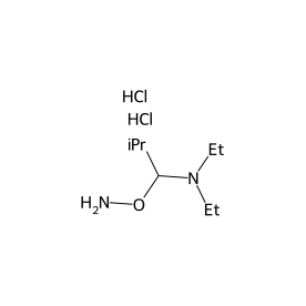 CCN(CC)C(ON)C(C)C.Cl.Cl